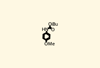 COc1ccc(NC(=O)OCC(C)C)cc1